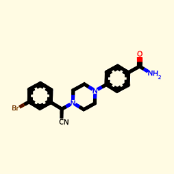 N#CC(c1cccc(Br)c1)N1CCN(c2ccc(C(N)=O)cc2)CC1